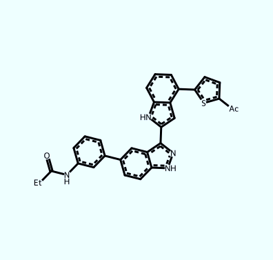 CCC(=O)Nc1cccc(-c2ccc3[nH]nc(-c4cc5c(-c6ccc(C(C)=O)s6)cccc5[nH]4)c3c2)c1